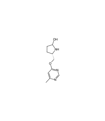 Cc1cc(OC[C@@H]2CCC(O)N2)ncn1